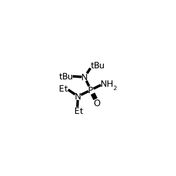 CCN(CC)P(N)(=O)N(C(C)(C)C)C(C)(C)C